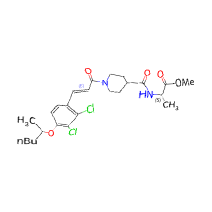 CCCCC(C)Oc1ccc(/C=C/C(=O)N2CCC(C(=O)N[C@@H](C)C(=O)OC)CC2)c(Cl)c1Cl